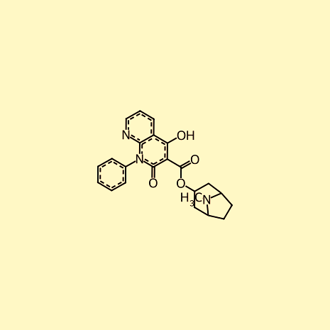 CN1C2CCC1CC(OC(=O)c1c(O)c3cccnc3n(-c3ccccc3)c1=O)C2